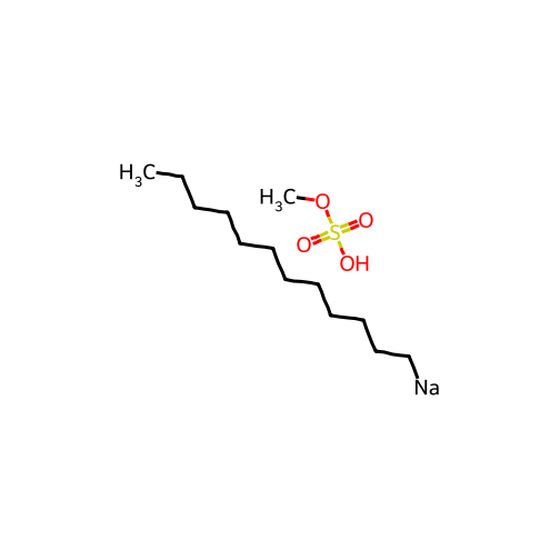 CCCCCCCCCCC[CH2][Na].COS(=O)(=O)O